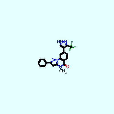 Cn1c(=O)c2ccc(-c3c[nH]nc3C(F)(F)F)cc2n2nc(-c3ccccc3)cc12